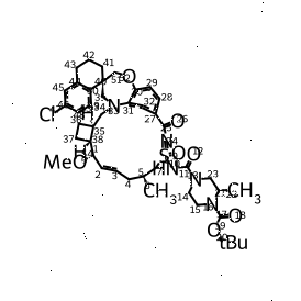 CO[C@H]1/C=C/C[C@H](C)C[S@@](=O)(NC(=O)N2CCN(C(=O)OC(C)(C)C)[C@H](C)C2)=NC(=O)c2ccc3c(c2)N(C[C@@H]2CC[C@H]21)C[C@@]1(CCCc2cc(Cl)ccc21)CO3